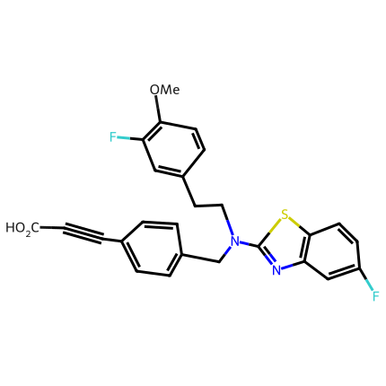 COc1ccc(CCN(Cc2ccc(C#CC(=O)O)cc2)c2nc3cc(F)ccc3s2)cc1F